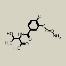 CC(=O)C(NC(=O)c1ccc(Cl)c(SOON)c1)C(C)O